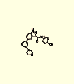 N#Cc1ccc(NC(=O)c2n[nH]c3ccc(-c4cncc(N5CCOCC5)c4)cc23)cn1